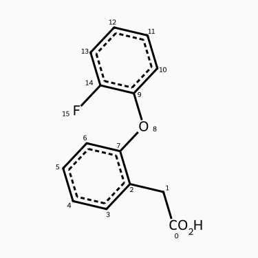 O=C(O)Cc1ccccc1Oc1ccccc1F